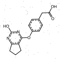 O=C(O)Cc1ccc(Oc2nc(O)nc3c2CCC3)cc1